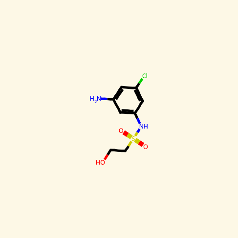 Nc1cc(Cl)cc(NS(=O)(=O)CCO)c1